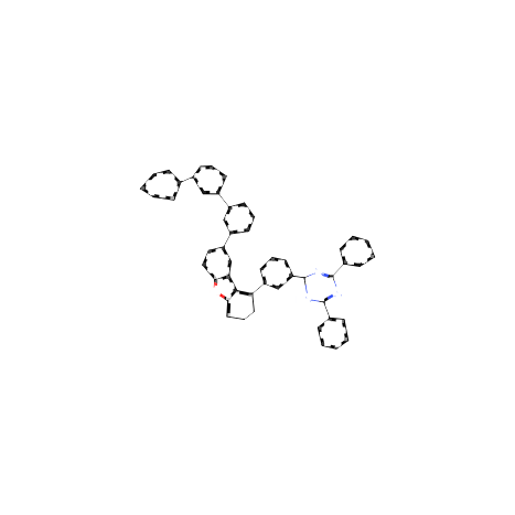 C1=c2oc3ccc(-c4cccc(-c5cccc(-c6ccccc6)c5)c4)cc3c2=C(c2cccc(C3N=C(c4ccccc4)N=C(c4ccccc4)N3)c2)CC1